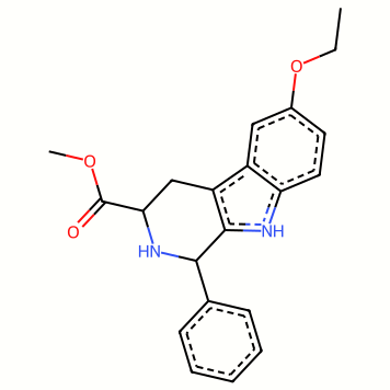 CCOc1ccc2[nH]c3c(c2c1)CC(C(=O)OC)NC3c1ccccc1